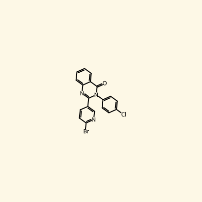 O=c1c2ccccc2nc(-c2ccc(Br)nc2)n1-c1ccc(Cl)cc1